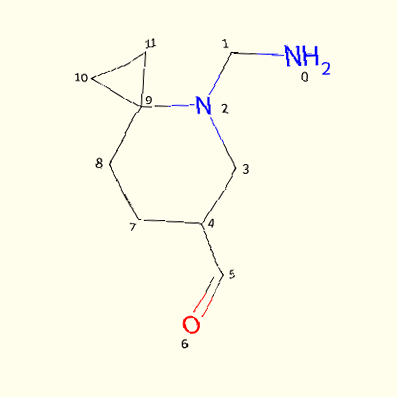 NCN1CC(C=O)CCC12CC2